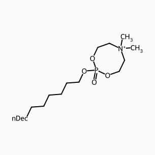 CCCCCCCCCCCCCCCCOP1(=O)OCC[N+](C)(C)CCO1